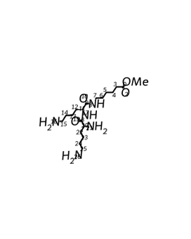 COC(=O)CCCCCNC(=O)[C@H](CCCCN)NC(=O)[C@@H](N)CCCCN